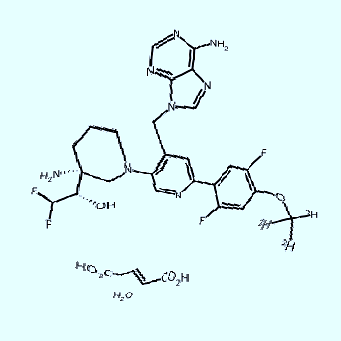 O.O=C(O)/C=C/C(=O)O.[2H]C([2H])([2H])Oc1cc(F)c(-c2cc(Cn3cnc4c(N)ncnc43)c(N3CCC[C@](N)([C@H](O)C(F)F)C3)cn2)cc1F